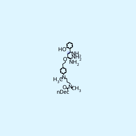 CCCCCCCCCCC(=O)N(C)CCCN(C)c1ccc(CCOC(/C=C(\N)c2ccccc2O)=C(N)N)cc1